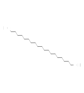 OCCCCCCCCCCCCCCCCCCCO